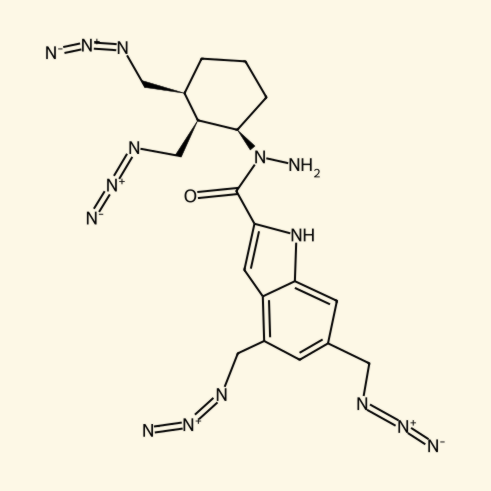 [N-]=[N+]=NCc1cc(CN=[N+]=[N-])c2cc(C(=O)N(N)[C@@H]3CCC[C@H](CN=[N+]=[N-])[C@@H]3CN=[N+]=[N-])[nH]c2c1